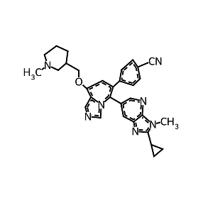 CN1CCCC(COc2cc(-c3ccc(C#N)cc3)c(-c3cnc4c(c3)nc(C3CC3)n4C)n3cncc23)C1